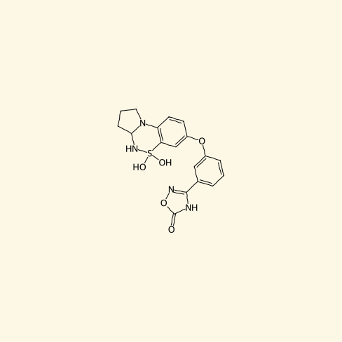 O=c1[nH]c(-c2cccc(Oc3ccc4c(c3)S(O)(O)NC3CCCN43)c2)no1